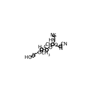 Cc1c(COc2cc(OCc3cncc(C#N)c3)c(CNCc3cncs3)cc2Cl)cccc1-c1cccc(OCCCN2CCC(O)C2)c1C